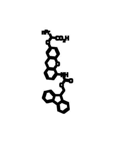 CCCC(Oc1ccc2c(c1)Cc1cccc(NC(=O)OCC3c4ccccc4-c4ccccc43)c1O2)C(=O)O